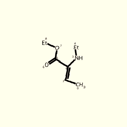 C/C=C(\NCC)C(=O)OCC